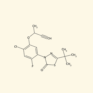 C#CC(C)Oc1cc(-n2nc(C(C)(C)C)sc2=O)c(F)cc1Cl